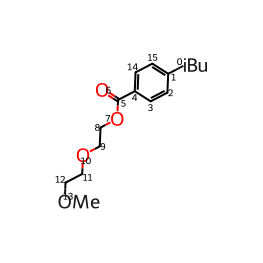 CCC(C)c1ccc(C(=O)OCCOCCOC)cc1